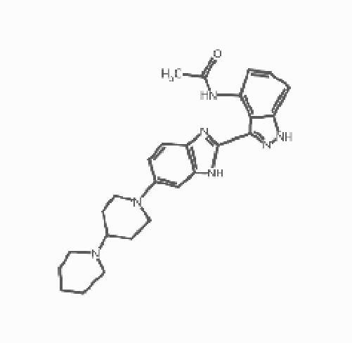 CC(=O)Nc1cccc2[nH]nc(-c3nc4ccc(N5CCC(N6CCCCC6)CC5)cc4[nH]3)c12